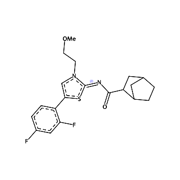 COCCn1cc(-c2ccc(F)cc2F)s/c1=N\C(=O)C1CC2CCC1C2